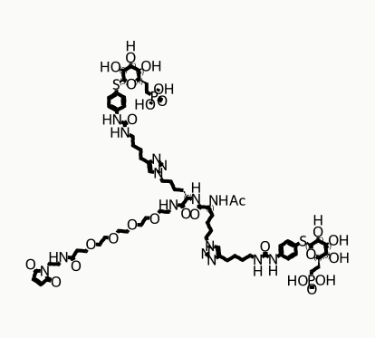 CC(=O)N[C@@H](CCCCn1cc(CCCCNC(=O)Nc2ccc(S[C@@H]3O[C@H](CCP(=O)(O)O)[C@@H](O)[C@H](O)[C@@H]3O)cc2)nn1)C(=O)N[C@@H](CCCCn1cc(CCCCNC(=O)Nc2ccc(S[C@@H]3O[C@H](CCP(=O)(O)O)[C@@H](O)[C@H](O)[C@@H]3O)cc2)nn1)C(=O)NCCOCCOCCOCCOCCC(=O)NCCN1C(=O)C=CC1=O